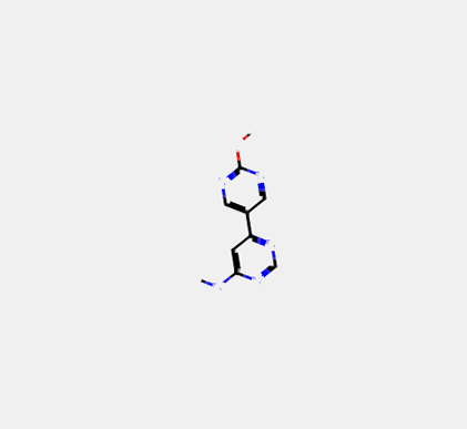 CCNc1cc(-c2cnc(OCC)nc2)ncn1